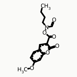 CCCCN(C=O)OC(=O)c1cc2ccc(OC)cc2oc1=O